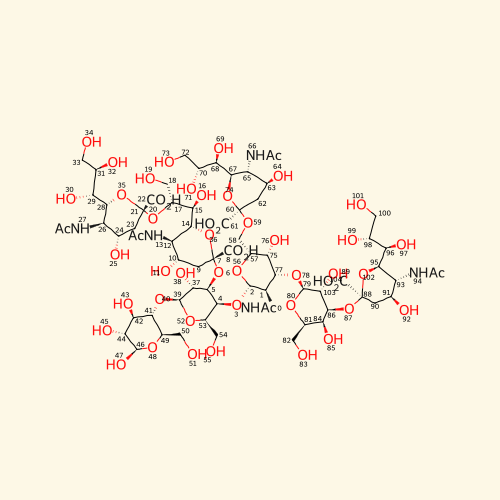 CC(=O)N[C@H]1[C@H](O[C@@H]2[C@H](O[C@]3(C(=O)O)C[C@H](O)[C@@H](NC(C)=O)[C@H]([C@H](O)[C@@H](CO)O[C@]4(C(=O)O)C[C@H](O)[C@@H](NC(C)=O)[C@H]([C@H](O)[C@H](O)CO)O4)O3)[C@@H](O)[C@H](O[C@H]3[C@H](O)[C@@H](O)[C@H](O)O[C@@H]3CO)O[C@@H]2CO)O[C@H](CO[C@]2(C(=O)O)C[C@H](O)[C@@H](NC(C)=O)[C@H]([C@H](O)[C@H](O)CO)O2)[C@H](O)[C@@H]1O[C@@H]1O[C@H](CO)[C@H](O)[C@H](O[C@]2(C(=O)O)C[C@H](O)[C@@H](NC(C)=O)[C@H]([C@H](O)[C@H](O)CO)O2)[C@H]1O